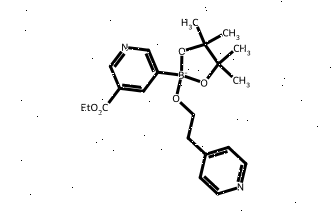 CCOC(=O)c1cncc([B-]2(OCCc3ccncc3)OC(C)(C)C(C)(C)O2)c1